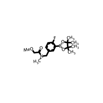 COCC(=O)N(C)Cc1ccc(F)c(B2OC(C)(C)C(C)(C)O2)c1